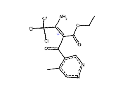 CCOC(=O)/C(C(=O)c1cnncc1C)=C(\N)C(Cl)(Cl)Cl